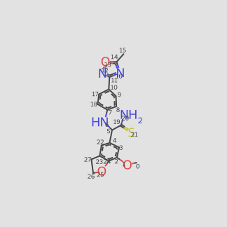 COc1cc(C(Nc2ccc(-c3noc(C)n3)cc2)C(N)=S)cc2c1OCC2